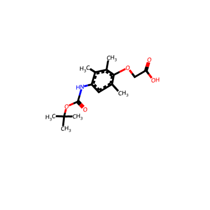 Cc1cc(NC(=O)OC(C)(C)C)c(C)c(C)c1OCC(=O)O